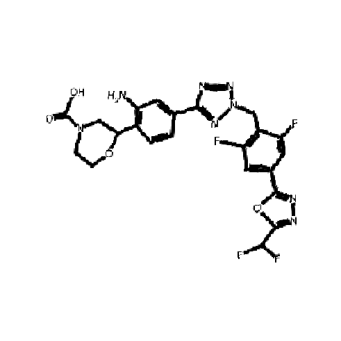 Nc1cc(-c2nnn(Cc3c(F)cc(-c4nnc(C(F)F)o4)cc3F)n2)ccc1C1CN(C(=O)O)CCO1